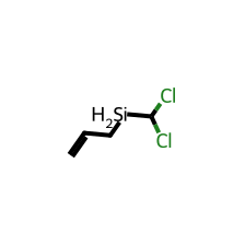 C=CC[SiH2]C(Cl)Cl